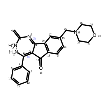 C=C(N)/N=C1\C(=C(/N)c2ccccc2)C(=O)c2ccc(CN3CCOCC3)cc21